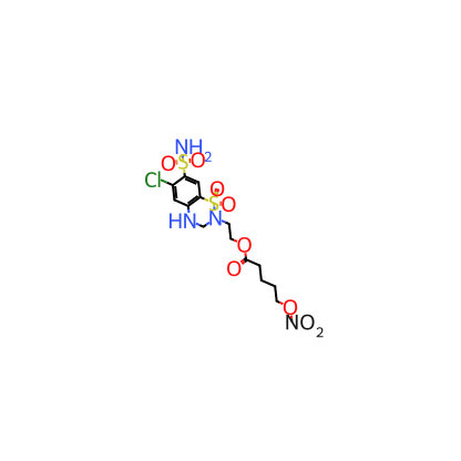 NS(=O)(=O)c1cc2c(cc1Cl)NCN(CCOC(=O)CCCCO[N+](=O)[O-])S2(=O)=O